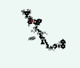 CN(CCN1CCC(OC(=O)Nc2ccccc2-c2ccccc2)CC1)C(=O)CCCCCN(Cc1ccc(C(=O)N(C)CCCN(C)C(=O)CO[C@H]2Cc3ccccc3C23CCN(CC[C@@]2(c4ccc(F)cc4)CN(C(=O)c4cc(C(F)(F)F)cc(C(F)(F)F)c4)CO2)CC3)s1)CC1CC1.Cl.Cl.Cl